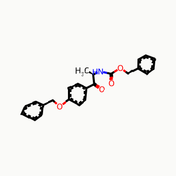 C[C@@H](NC(=O)OCc1ccccc1)C(=O)c1ccc(OCc2ccccc2)cc1